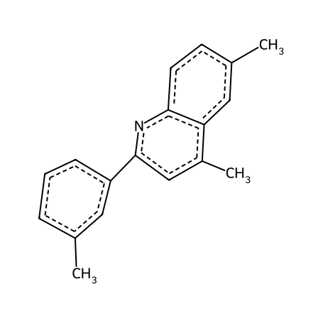 Cc1cccc(-c2cc(C)c3cc(C)ccc3n2)c1